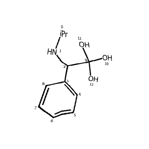 CC(C)NC(c1ccccc1)C(O)(O)O